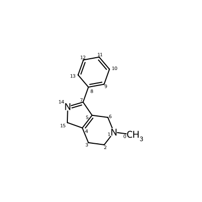 CN1CCC2=C(C1)C(c1ccccc1)=NC2